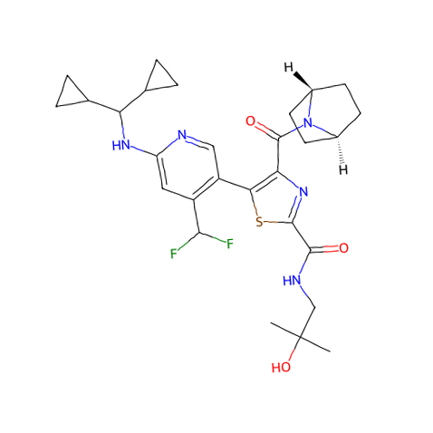 CC(C)(O)CNC(=O)c1nc(C(=O)N2[C@H]3CC[C@H]2CC3)c(-c2cnc(NC(C3CC3)C3CC3)cc2C(F)F)s1